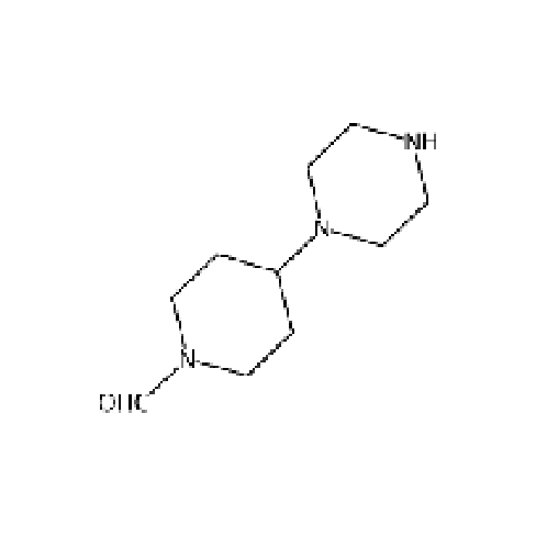 O=CN1CCC(N2CCNCC2)CC1